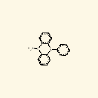 NN1c2ccccc2N(c2ccccc2)c2ccccc21